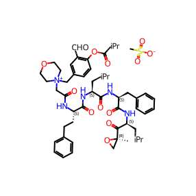 CC(C)C[C@H](NC(=O)[C@H](CCc1ccccc1)NC(=O)C[N+]1(Cc2ccc(OC(=O)C(C)C)c(C=O)c2)CCOCC1)C(=O)N[C@@H](Cc1ccccc1)C(=O)N[C@@H](CC(C)C)C(=O)[C@@]1(C)CO1.CS(=O)(=O)[O-]